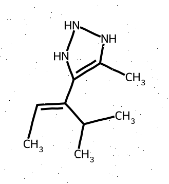 C/C=C(/C1=C(C)NNN1)C(C)C